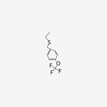 CCSCc1ccc(OC(F)(F)F)cc1